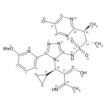 COc1cccc(-c2nnc(NS(=O)(=O)[C@@H](C)[C@H](C)c3ncc(Cl)cn3)n2[C@@H](/C(=C/O)C(C)=N)C2CC2)n1